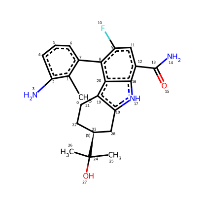 Cc1c(N)cccc1-c1c(F)cc(C(N)=O)c2[nH]c3c(c12)CC[C@H](C(C)(C)O)C3